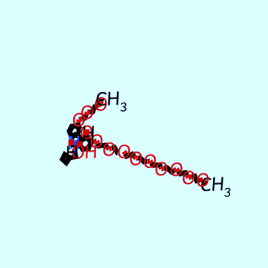 COCCOCCOCCOCCOCCOCCOCCOCCOC1CC[C@@]2(O)[C@H]3Cc4ccc(OCOCCOC)c5c4[C@@]2(CCN3CC2CCC2)[C@H]1O5